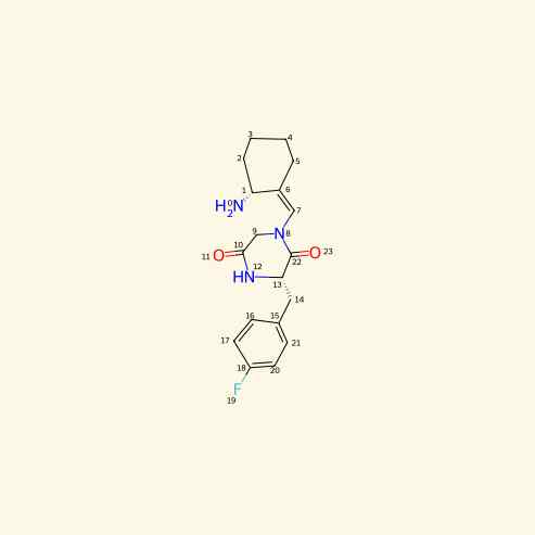 N[C@@H]1CCCC/C1=C/N1CC(=O)N[C@@H](Cc2ccc(F)cc2)C1=O